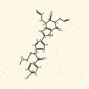 C=CCn1c(=O)c2[nH]c(-c3ccc(N(CCOC)C(=O)c4ccc(F)nc4)nc3)nc2n(CC=C)c1=O